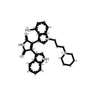 O=C1NC(=O)C(c2cn(CCCN3CCCCC3)c3cccc(O)c23)=C1c1c[nH]c2ccccc12